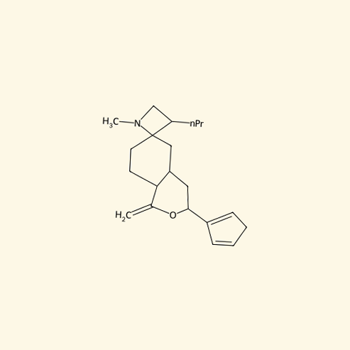 C=C1OC(C2=CCC=C2)CC2CC3(CCC12)C(CCC)CN3C